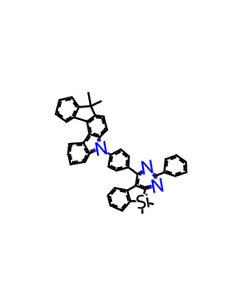 CC1(C)c2ccccc2-c2c1ccc1c2c2ccccc2n1-c1ccc(-c2nc(-c3ccccc3)nc3c2-c2ccccc2[Si]3(C)C)cc1